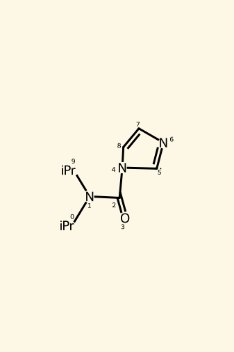 CC(C)N(C(=O)n1[c]ncc1)C(C)C